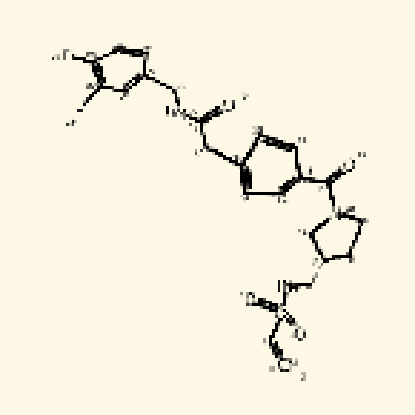 C=CS(=O)(=O)NC[C@H]1CCN(C(=O)c2ccc(CC(=O)NCc3ccc(F)c(F)c3)cc2)C1